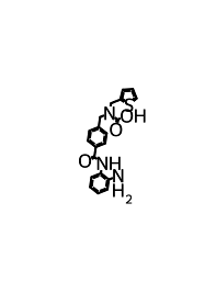 Nc1ccccc1NC(=O)c1ccc(CN(Cc2cccs2)C(=O)O)cc1